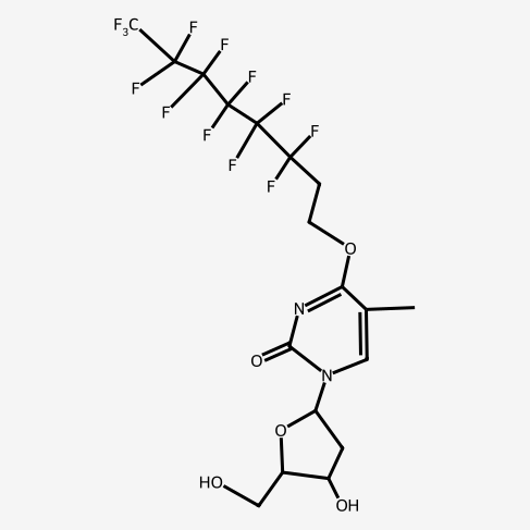 Cc1cn(C2CC(O)C(CO)O2)c(=O)nc1OCCC(F)(F)C(F)(F)C(F)(F)C(F)(F)C(F)(F)C(F)(F)F